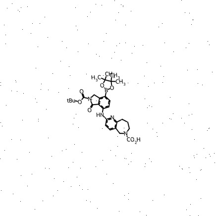 CC(C)(C)OC(=O)N1Cc2c(B3OC(C)(C)C(C)(C)O3)ccc(Nc3ccc4c(n3)CCCN(C(=O)O)C4)c2C1=O